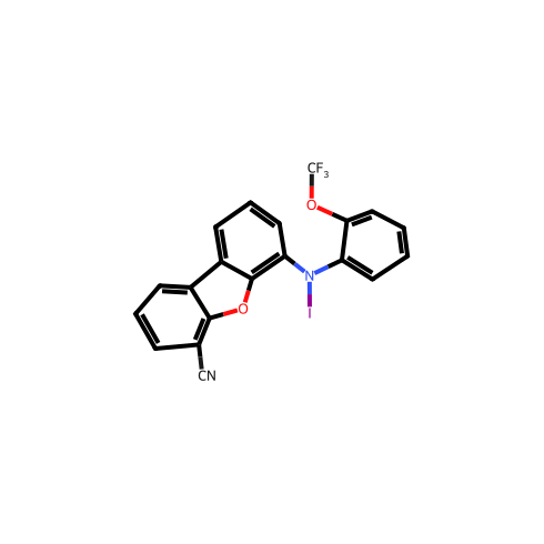 N#Cc1cccc2c1oc1c(N(I)c3ccccc3OC(F)(F)F)cccc12